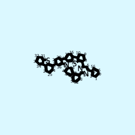 c1ccc(-c2cc(-c3cccc4c3sc3c4ccc4c5ccc(-c6cccc7c6sc6ccccc67)cc5n(-c5ccccc5)c43)nc(-c3ccccc3)n2)cc1